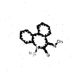 Cn1c(=O)/c(=N/O)c2ccccc2c2ccccc21